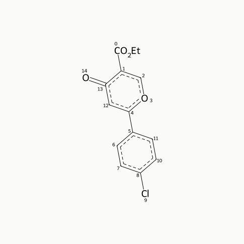 CCOC(=O)c1coc(-c2ccc(Cl)cc2)cc1=O